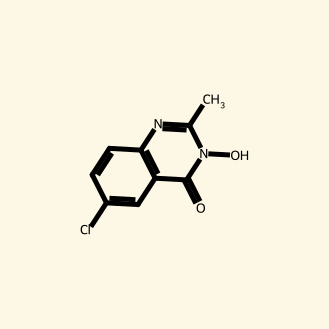 Cc1nc2ccc(Cl)cc2c(=O)n1O